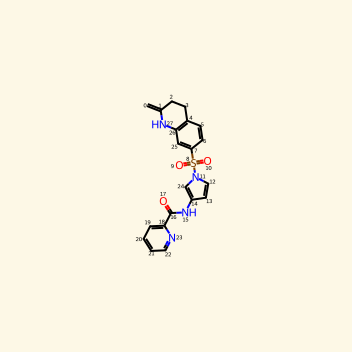 C=C1CCc2ccc(S(=O)(=O)n3ccc(NC(=O)c4ccccn4)c3)cc2N1